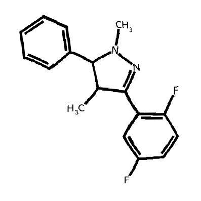 CC1C(c2cc(F)ccc2F)=NN(C)C1c1ccccc1